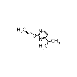 C=CCOc1nccc(C(C)C)n1